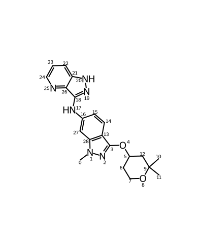 Cn1nc(OC2CCOC(C)(C)C2)c2ccc(Nc3n[nH]c4cccnc34)cc21